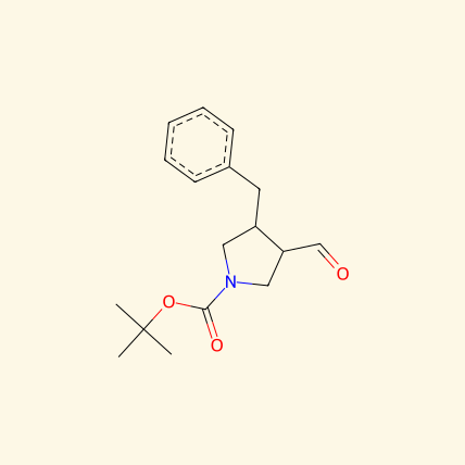 CC(C)(C)OC(=O)N1CC(C=O)C(Cc2ccccc2)C1